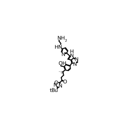 C[C@@H](CCC(=O)c1nc(C(C)(C)C)no1)c1ccc(-c2ncnc3[nH]c(-c4ccc(NCCN)cn4)cc23)cc1CO